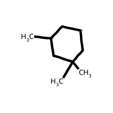 C[C]1C[CH]CC(C)(C)C1